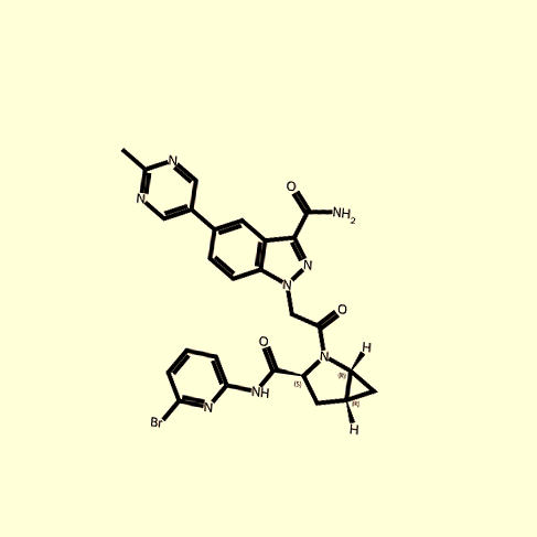 Cc1ncc(-c2ccc3c(c2)c(C(N)=O)nn3CC(=O)N2[C@@H]3C[C@@H]3C[C@H]2C(=O)Nc2cccc(Br)n2)cn1